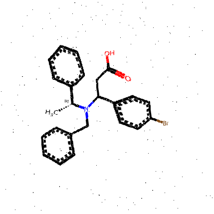 C[C@H](c1ccccc1)N(Cc1ccccc1)C(CC(=O)O)c1ccc(Br)cc1